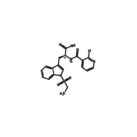 CCS(=O)(=O)n1cc(C[C@H](NC(=O)c2cccnc2Cl)C(=O)O)c2ccccc21